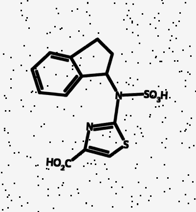 O=C(O)c1csc(N(C2CCc3ccccc32)S(=O)(=O)O)n1